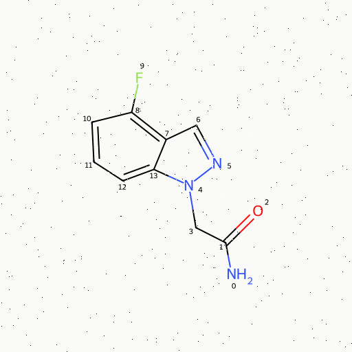 NC(=O)Cn1ncc2c(F)cccc21